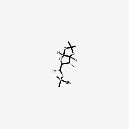 CC[C@@H](O[Si](C)(C)C(C)(C)C)[C@H]1O[C@@H]2OC(C)(C)O[C@@H]2[C@@H]1C